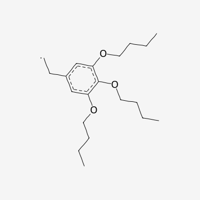 [CH2]Cc1cc(OCCCC)c(OCCCC)c(OCCCC)c1